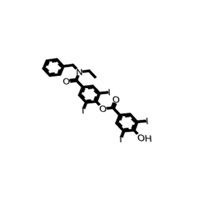 CCN(Cc1ccccc1)C(=O)c1cc(I)c(OC(=O)c2cc(I)c(O)c(I)c2)c(I)c1